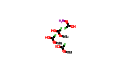 CCCCOB(O)F.CCCCOB(O)F.CCCCOB(O)F.OB(F)OP